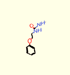 [NH]C(=O)NCCOc1ccccc1